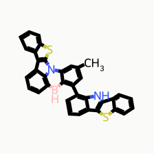 Cc1cc(-c2cccc3c2[nH]c2c4ccccc4sc32)c2c(c1)-n1c3sc4ccccc4c3c3cccc(c31)B2